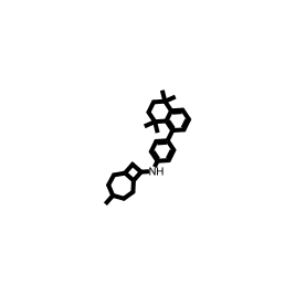 CC1CCC2CC(Nc3ccc(-c4cccc5c4C(C)(C)CCC5(C)C)cc3)C2CC1